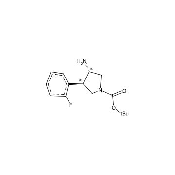 CC(C)(C)OC(=O)N1C[C@@H](N)[C@H](c2ccccc2F)C1